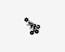 O=C(COc1ccccc1)N[C@@H]1C(=O)N2C(C(=O)OC(c3ccccc3)c3ccccc3)=C(N3CCCCC3)CS[C@H]12